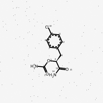 NC(=O)O[C@@H](Cc1ccc(Cl)cc1)C(N)=O